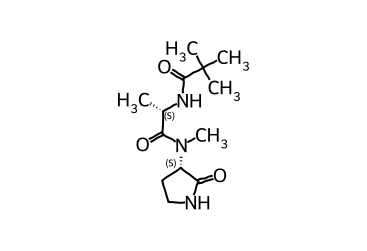 C[C@H](NC(=O)C(C)(C)C)C(=O)N(C)[C@H]1CCNC1=O